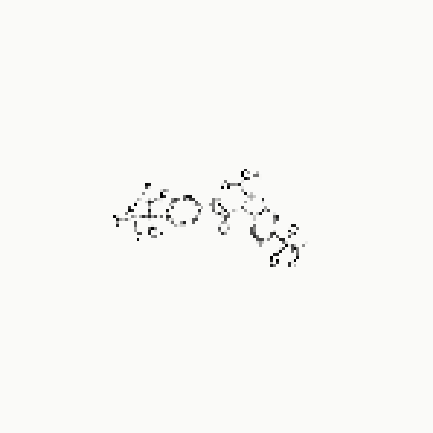 CNS(=O)(=O)c1ccc2c(c1)CN(C(=O)O)C2C(=O)Nc1ccc(C(O)(C(F)(F)F)C(F)(F)F)cc1